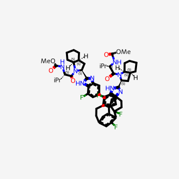 COC(=O)N[C@H](C(=O)N1[C@H](c2nc3cc(-c4cc5cc6c4CCc4cc(F)c(c(-c7cc(F)c8[nH]c([C@@H]9C[C@@H]%10CCCC[C@@H]%10N9C(=O)[C@@H](NC(=O)OC)C(C)C)nc8c7)c4)C6(F)CC5)cc(F)c3[nH]2)C[C@@H]2CCCC[C@@H]21)C(C)C